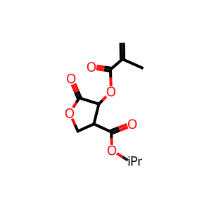 C=C(C)C(=O)OC1C(=O)OCC1C(=O)OC(C)C